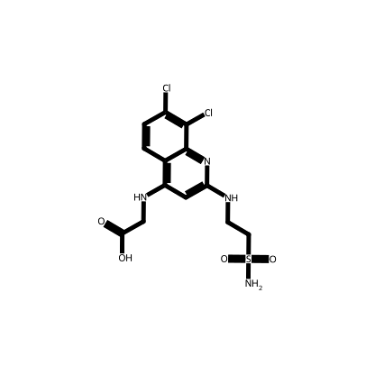 NS(=O)(=O)CCNc1cc(NCC(=O)O)c2ccc(Cl)c(Cl)c2n1